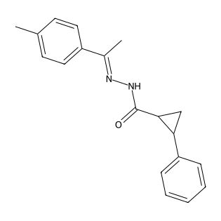 C/C(=N\NC(=O)C1CC1c1ccccc1)c1ccc(C)cc1